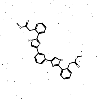 COC(=O)Cc1ccccc1-c1nc(-c2cccc(-c3c[nH]c(-c4ccccc4CC(=O)OC)n3)c2)c[nH]1